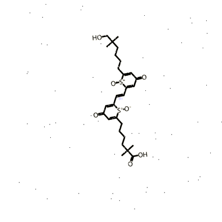 CC(C)(CO)CCCCc1cc(=O)cc(/C=C/c2cc(=O)cc(CCCCC(C)(C)C(=O)O)[s+]2[O-])[s+]1[O-]